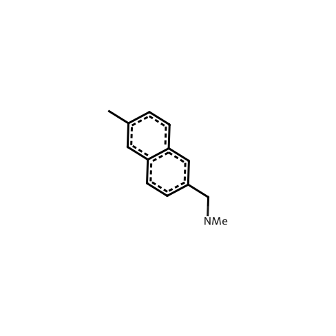 CNCc1ccc2cc(C)ccc2c1